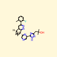 Cc1cccc(F)c1-c1cc2c(nn1)[C@@]1(c3cncc(-c4nc(CC(C)(C)O)n[nH]4)n3)CC[C@@H]2C1(C)C